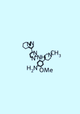 COc1cc(C2=CCN(C)CC2)c(Nc2nccc(-c3cnn4c3CCCC4)n2)cc1N